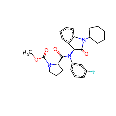 COC(=O)N1CCC[C@@H]1C(=O)N(c1cccc(F)c1)[C@@H]1C(=O)N(C2CCCCC2)c2ccccc21